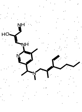 C=C/C(CCCC)=C(/C)CN(C)C(C)c1cnc(N/C=C(/O)C=N)c(C)c1